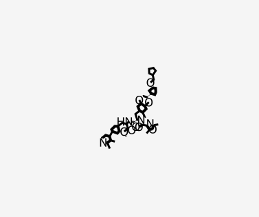 COC(=O)C(Cc1ccc(-c2ccnc(C)c2C)cc1)NC(=O)[C@@H]1Cc2cc3c(cc2CN1C(=O)c1nc(C)oc1C)O[C@@H](c1cccc(OCC2CCCC2)c1)CO3